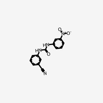 N#Cc1cccc(NC(=O)Nc2cccc([N+](=O)[O-])c2)c1